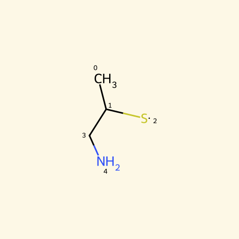 CC([S])CN